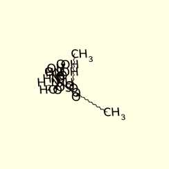 CCCCCCCCCCCCCCCC(=O)OC[C@H](CSCCC(=O)N[C@](N)(CCC(=O)O)C(=O)NC(CCC(=O)O)C(=O)N[C@H](CCC(=O)O)C(=O)O)OC(=O)CCCCCCCCCCCCCCC